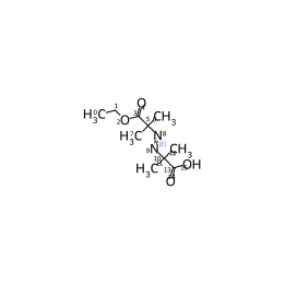 CCOC(=O)C(C)(C)/N=N/C(C)(C)C(=O)O